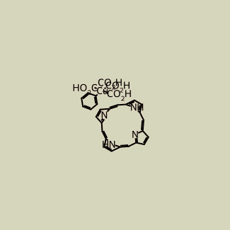 C1=Cc2cc3ccc(cc4nc(cc5ccc(cc1n2)[nH]5)C=C4)[nH]3.O=[C](O)[Cu]([C](=O)O)([C](=O)O)([C](=O)O)[c]1ccccc1